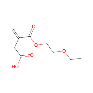 C=C(CC(=O)O)C(=O)OCCOCC